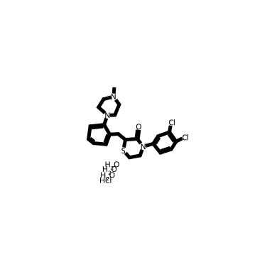 CN1CCN(c2ccccc2CC2SCCN(c3ccc(Cl)c(Cl)c3)C2=O)CC1.Cl.O.O.O